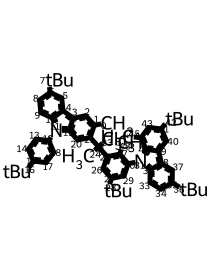 Cc1cc2c3cc(C(C)(C)C)ccc3n(-c3ccc(C(C)(C)C)cc3)c2cc1C(C)(C)c1cc(C(C)(C)C)cc(-n2c3ccc(C(C)(C)C)cc3c3cc(C(C)(C)C)cc(C)c32)c1C